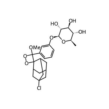 COC1(c2cccc(O[C@@H]3O[C@H](C)[C@@H](O)[C@H](O)[C@H]3O)c2)OOC12C1CC3CC2CC(Cl)(C3)C1